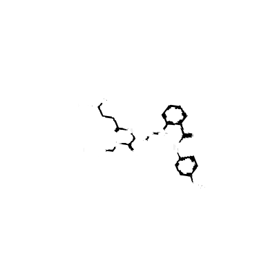 COc1ccc(NC(=O)c2ccccc2[Se]SC[C@@H](NC(=O)CC[C@@H](N)C(=O)O)C(=O)NCC(=O)O)cc1